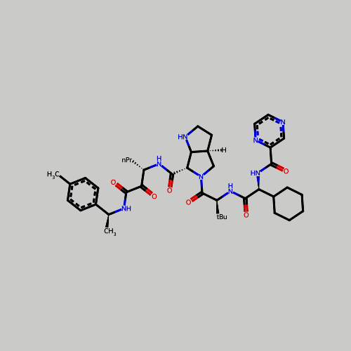 CCC[C@H](NC(=O)[C@@H]1C2NCC[C@H]2CN1C(=O)[C@@H](NC(=O)[C@@H](NC(=O)c1cnccn1)C1CCCCC1)C(C)(C)C)C(=O)C(=O)N[C@@H](C)c1ccc(C)cc1